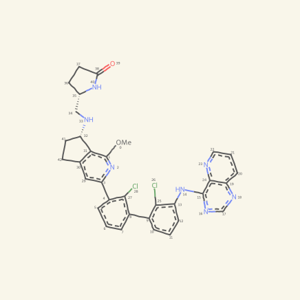 COc1nc(-c2cccc(-c3cccc(Nc4ncnc5cccnc45)c3Cl)c2Cl)cc2c1[C@@H](NC[C@@H]1CCC(=O)N1)CC2